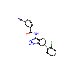 N#Cc1cccc(C(=O)Nc2n[nH]c3cc(-c4ccccc4F)ccc23)c1